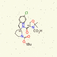 CC(C)(C)OC(=O)N1CCC[C@](Cc2ccc(Cl)cc2)(NC(=O)[C@H]2COC(C)(C)N2C(=O)O)C1